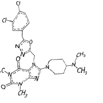 CN(C)C1CCN(c2nc3c(c(=O)n(C)c(=O)n3C)n2Cc2nnc(-c3ccc(Cl)c(Cl)c3)o2)CC1